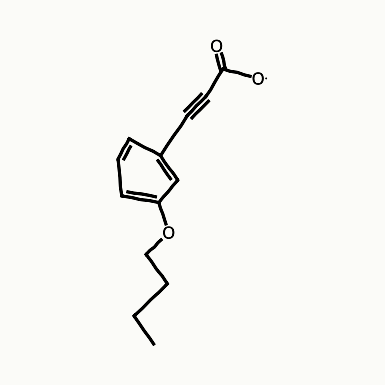 CCCCOc1cccc(C#CC([O])=O)c1